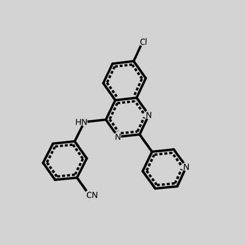 N#Cc1cccc(Nc2nc(-c3cccnc3)nc3cc(Cl)ccc23)c1